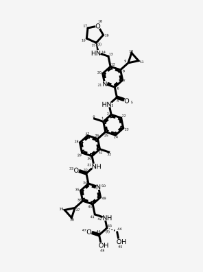 Cc1c(NC(=O)c2cc(C3CC3)c(CN[C@H]3CCOC3)cn2)cccc1-c1cccc(NC(=O)c2cc(C3CC3)c(CN[C@H](CO)C(=O)O)cn2)c1C